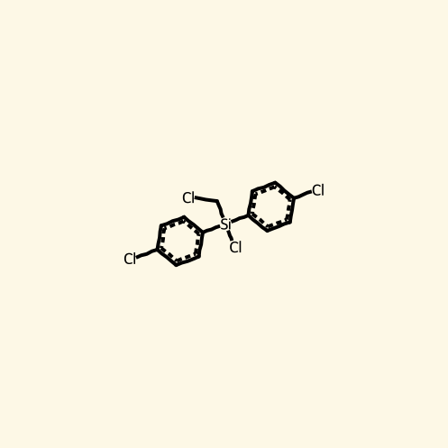 ClC[Si](Cl)(c1ccc(Cl)cc1)c1ccc(Cl)cc1